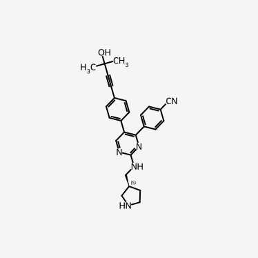 CC(C)(O)C#Cc1ccc(-c2cnc(NC[C@H]3CCNC3)nc2-c2ccc(C#N)cc2)cc1